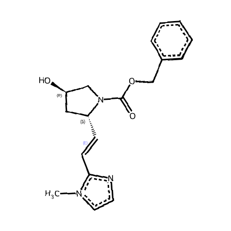 Cn1ccnc1/C=C/[C@@H]1C[C@@H](O)CN1C(=O)OCc1ccccc1